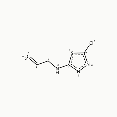 C=CCNc1nnc(Cl)s1